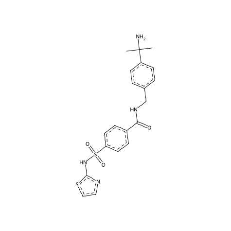 CC(C)(N)c1ccc(CNC(=O)c2ccc(S(=O)(=O)Nc3nccs3)cc2)cc1